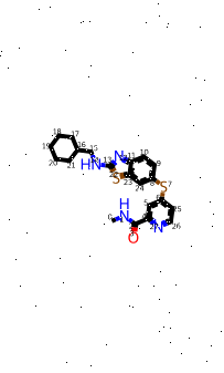 CNC(=O)c1cc(Sc2ccc3nc(NCC4CCCCC4)sc3c2)ccn1